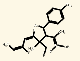 C/C=C(F)\C=C(\F)C(C)(CF)C(/C(C)=[N+](\[O-])O)C(C(C)=O)c1ccc(C)cc1